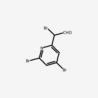 O=CC(Br)c1cc(Br)cc(Br)n1